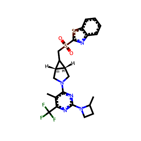 Cc1c(N2C[C@@H]3C(CS(=O)(=O)c4nc5ccccc5s4)[C@@H]3C2)nc(N2CCC2C)nc1C(F)(F)F